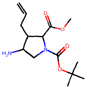 C=CCC1C(N)CN(C(=O)OC(C)(C)C)C1C(=O)OC